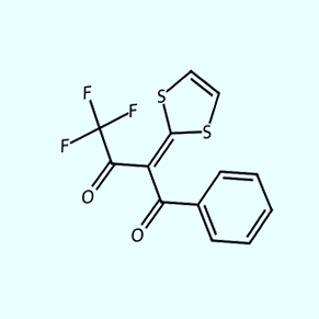 O=C(C(C(=O)C(F)(F)F)=C1SC=CS1)c1ccccc1